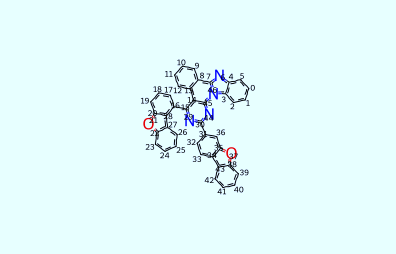 c1ccc2c(c1)nc1c3ccccc3c3c(-c4cccc5oc6ccccc6c45)nc(-c4ccc5c(c4)oc4ccccc45)nc3n21